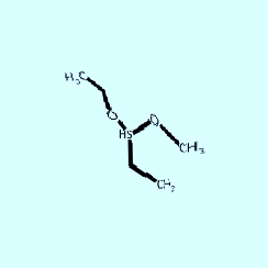 CCO[SH](CC)OC